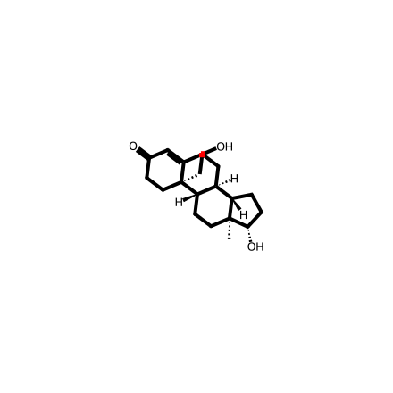 C[C@]12CC[C@H]3[C@@H](CCC4=CC(=O)CC[C@@]43CCO)[C@@H]1CC[C@@H]2O